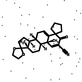 C[C@]12C=C(C#N)C(=O)C3(CCCC3)C1=CC[C@@H]1[C@@H]2CC[C@@]2(C)[C@H]1CCC21OCCO1